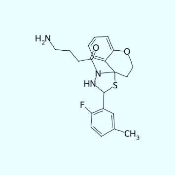 Cc1ccc(F)c(C2NN(C(=O)CCCN)C3(CCOc4ccccc43)S2)c1